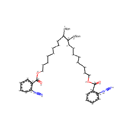 CCCCCCCCCC(CCCCCCCCOC(=O)c1ccccc1[N+]#N)C(CCCCCCCCC)CCCCCCCCOC(=O)c1ccccc1[N+]#N